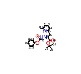 Cc1cccc(CC(NCC(=O)Oc2ccccc2)C(=O)OC(C)(C)C)n1